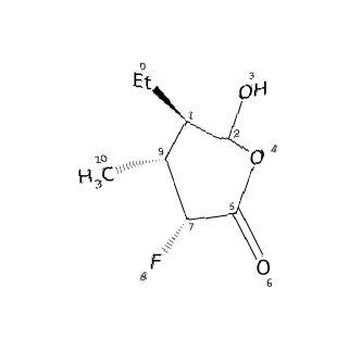 CC[C@H]1C(O)OC(=O)[C@H](F)[C@@H]1C